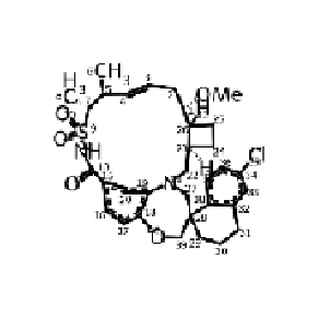 CO[C@H]1C/C=C/[C@H](C)[C@@H](C)S(=O)(=O)NC(=O)c2ccc3c(c2)N(C[C@@H]2CC[C@H]21)C[C@@]1(CCCc2cc(Cl)ccc21)CO3